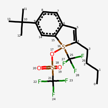 CCCCC1=Cc2ccc(C(C)(C)C)cc2S1(OS(=O)(=O)C(F)(F)F)C(F)(F)F